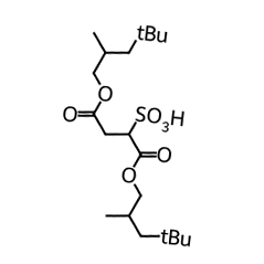 CC(COC(=O)CC(C(=O)OCC(C)CC(C)(C)C)S(=O)(=O)O)CC(C)(C)C